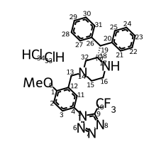 COc1ccc(-n2nnnc2C(F)(F)F)cc1CN1CCN[C@@H](C(c2ccccc2)c2ccccc2)C1.Cl.Cl